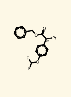 CC(C)[C@H](C(=O)OCc1ccccc1)c1ccc(OC(F)F)cc1